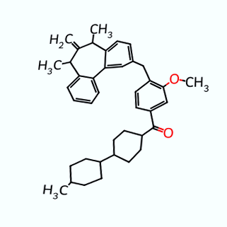 C=C1C(C)c2ccccc2-c2cc(Cc3ccc(C(=O)C4CCC(C5CCC(C)CC5)CC4)cc3OC)ccc2C1C